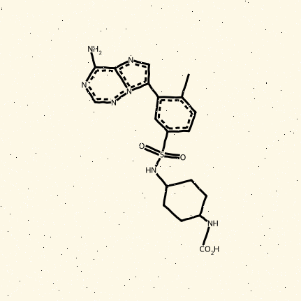 Cc1ccc(S(=O)(=O)NC2CCC(NC(=O)O)CC2)cc1-c1cnc2c(N)ncnn12